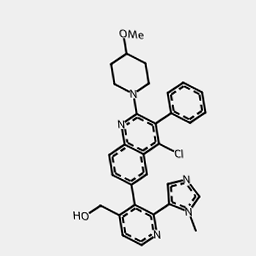 COC1CCN(c2nc3ccc(-c4c(CO)ccnc4-c4cncn4C)cc3c(Cl)c2-c2ccccc2)CC1